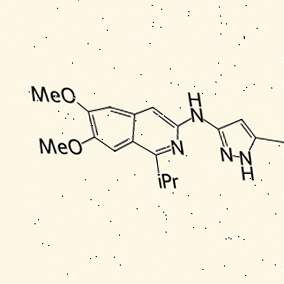 COc1cc2cc(Nc3cc(C4CC4)[nH]n3)nc(C(C)C)c2cc1OC